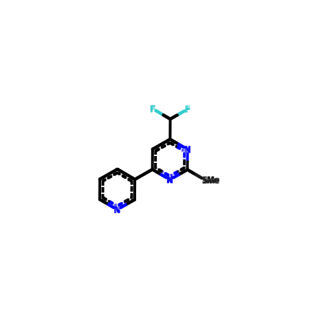 CSc1nc(-c2cccnc2)cc(C(F)F)n1